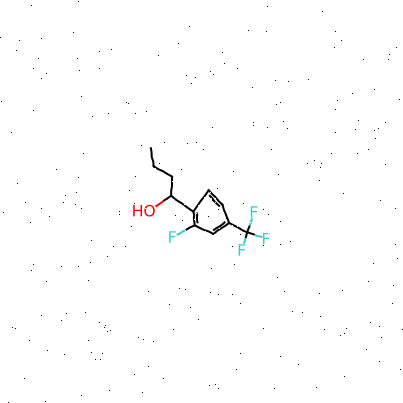 CCCC(O)c1ccc(C(F)(F)F)cc1F